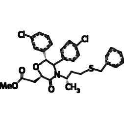 COC(=O)C[C@H]1O[C@H](c2cccc(Cl)c2)C(c2ccc(Cl)cc2)N([C@@H](C)CCSCc2ccccc2)C1=O